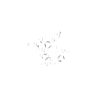 C=C(C(N)=O)c1cc(N2CCN(CC)CC2)c(Cl)cc1Nc1ncc(C#N)c(NCc2c(F)cccc2OC)n1